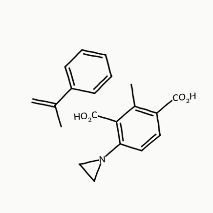 C=C(C)c1ccccc1.Cc1c(C(=O)O)ccc(N2CC2)c1C(=O)O